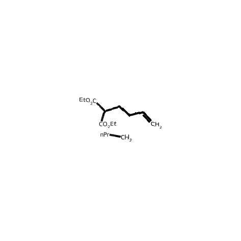 C=CCCC(C(=O)OCC)C(=O)OCC.CCCC